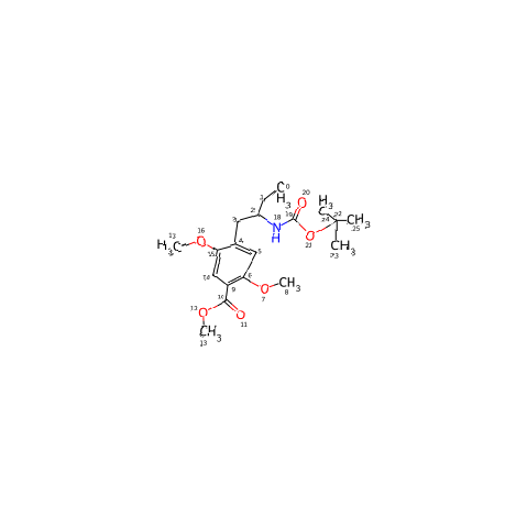 CCC(Cc1cc(OC)c(C(=O)OC)cc1OC)NC(=O)OC(C)(C)C